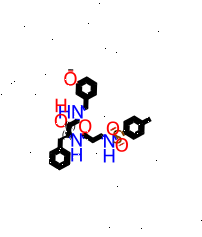 COc1cccc(CNC[C@@H](O)[C@H](Cc2ccccc2)NC(=O)CCNS(=O)(=O)c2ccc(C)cc2)c1